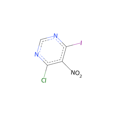 O=[N+]([O-])c1c(Cl)ncnc1I